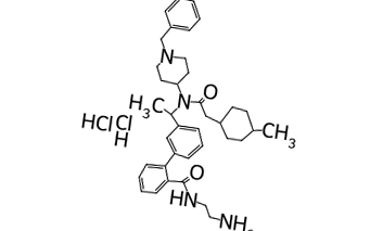 CC1CCC(CC(=O)N(C2CCN(Cc3ccccc3)CC2)C(C)c2cccc(-c3ccccc3C(=O)NCCN)c2)CC1.Cl.Cl